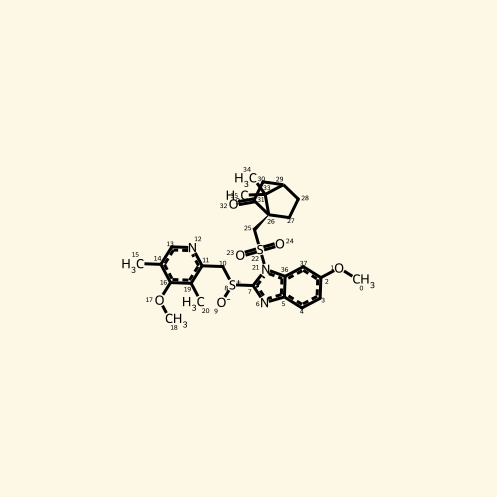 COc1ccc2nc([S+]([O-])Cc3ncc(C)c(OC)c3C)n(S(=O)(=O)C[C@@]34CCC(CC3=O)C4(C)C)c2c1